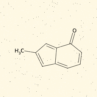 CC1=CC2=CC=CC(=O)C2=C1